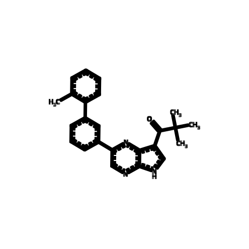 Cc1ccccc1-c1cccc(-c2cnc3[nH]cc(C(=O)C(C)(C)C)c3n2)c1